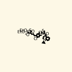 CCOC(=O)C(=O)C(CCCc1cc(Cl)c(CN2CSC[C@H]2C(=O)N2CCN(C3CC3)c3ccccc32)cc1Cl)C(=O)C(=O)OCC